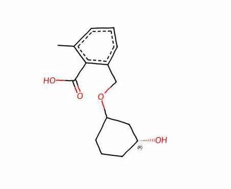 Cc1cccc(COC2CCC[C@@H](O)C2)c1C(=O)O